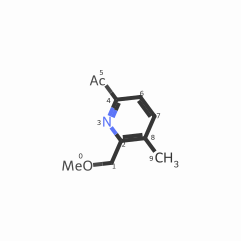 COCc1nc(C(C)=O)ccc1C